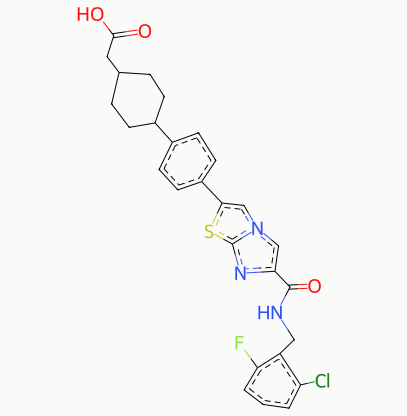 O=C(O)CC1CCC(c2ccc(-c3cn4cc(C(=O)NCc5c(F)cccc5Cl)nc4s3)cc2)CC1